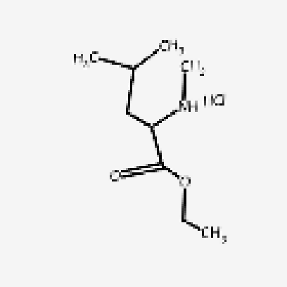 CCOC(=O)C(CC(C)C)NC.Cl